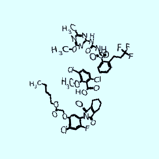 CCCCCOC(=O)COc1cc(N2C(=O)C3=C(CCCC3)C2=O)c(F)cc1Cl.COc1c(Cl)ccc(Cl)c1C(=O)O.COc1nc(C)nc(NC(=O)NS(=O)(=O)c2ccccc2CCC(F)(F)F)n1